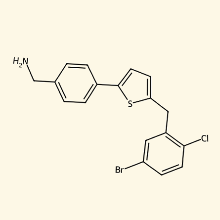 NCc1ccc(-c2ccc(Cc3cc(Br)ccc3Cl)s2)cc1